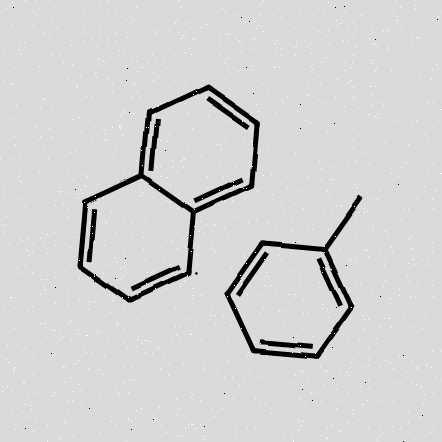 Cc1ccccc1.[c]1cccc2ccccc12